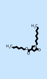 CCCCCCCCN1CC(C(=O)OCCCCCC)CC1=O